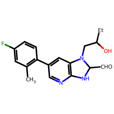 CCC(O)CN1c2cc(-c3ccc(F)cc3C)cnc2NC1C=O